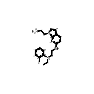 CCN(CCNc1ccc2ccn(CCN)c2n1)c1ccccc1C